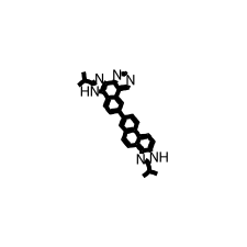 CC(C)c1nc2c(ccc3c4ccc(-c5ccc6c(c5)c5cncnc5c5nc(C(C)C)[nH]c65)cc4ccc32)[nH]1